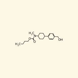 CCCCOC(=O)N(C)C1CCC(c2ccc(CO)cc2)CC1